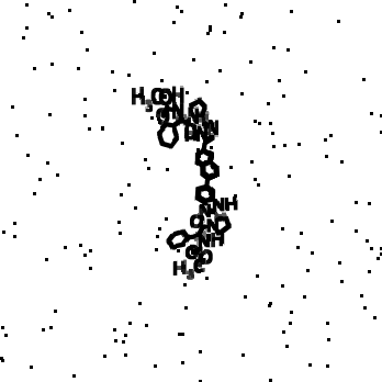 COC(=O)N[C@H](C(=O)N1CCC[C@H]1c1ncc(-c2ccc3cc(-c4ccc5nc([C@@H]6CCCN6C(=O)[C@@H](NC(=O)OC)C6CCCCC6)[nH]c5c4)ccc3c2)[nH]1)C1CCCCC1